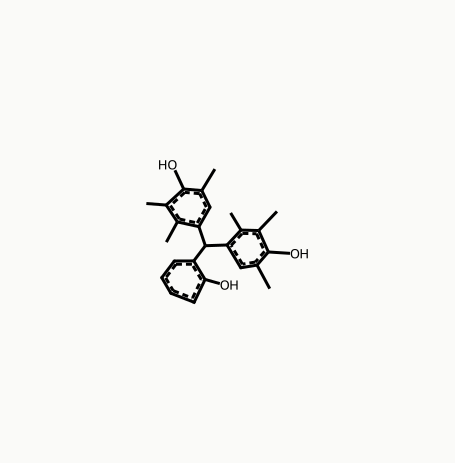 Cc1cc(C(c2ccccc2O)c2cc(C)c(O)c(C)c2C)c(C)c(C)c1O